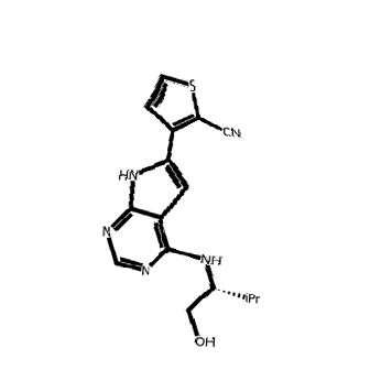 CC(C)[C@H](CO)Nc1ncnc2[nH]c(-c3ccsc3C#N)cc12